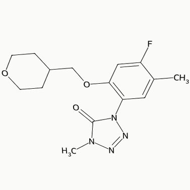 Cc1cc(-n2nnn(C)c2=O)c(OCC2CCOCC2)cc1F